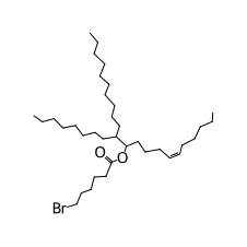 CCCCC/C=C\CCCC(OC(=O)CCCCCBr)C(CCCCCCCC)CCCCCCCCCC